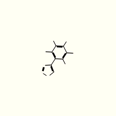 O=C(O)c1c(F)c(F)c(F)c(-c2conn2)c1F